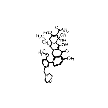 COc1ccc(CN2CCOCC2)cc1-c1ccc(O)c2c1CC1CC3C(C(O)=C1C2=O)C(O)(O)C(C(N)=O)=C(O)[C@H]3N(C)C